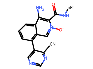 CCCNC(=O)c1c(N)c2cccc(-c3cncnc3C#N)c2c[n+]1[O-]